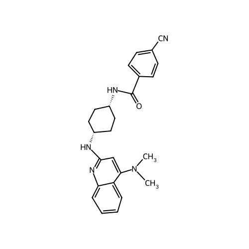 CN(C)c1cc(N[C@H]2CC[C@@H](NC(=O)c3ccc(C#N)cc3)CC2)nc2ccccc12